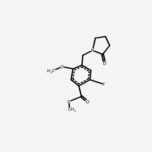 COC(=O)c1cc(OC)c(CN2CCCC2=O)cc1F